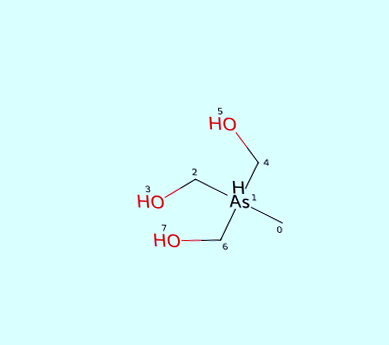 C[AsH](CO)(CO)CO